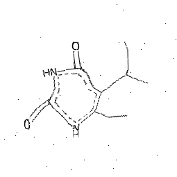 Cc1[nH]c(=O)[nH]c(=O)c1C(C)C